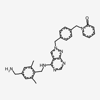 Cc1cc(CN)cc(C)c1CNc1ncnc2nn(Cc3ccc(Cn4ccccc4=O)cc3)cc12